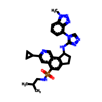 CC(C)CNS(=O)(=O)c1cc2c(c3cnc(C4CC4)cc13)C(Nc1nncn1-c1cccc3c1nnn3C)CC2